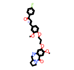 COc1cc(/C=C/C(=O)c2ccc(F)cc2)ccc1OCCCOc1cc2c(cc1OC)C(=O)N1CCCC1C=N2